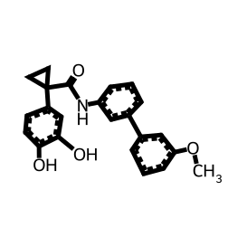 COc1cccc(-c2cccc(NC(=O)C3(c4ccc(O)c(O)c4)CC3)c2)c1